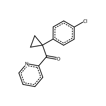 O=C(c1ccccn1)C1(c2ccc(Cl)cc2)CC1